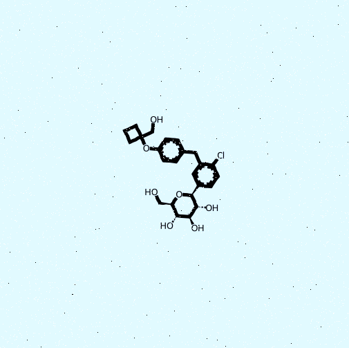 OC[C@H]1O[C@@H](c2ccc(Cl)c(Cc3ccc(OC4(CO)CCC4)cc3)c2)[C@H](O)[C@@H](O)[C@@H]1O